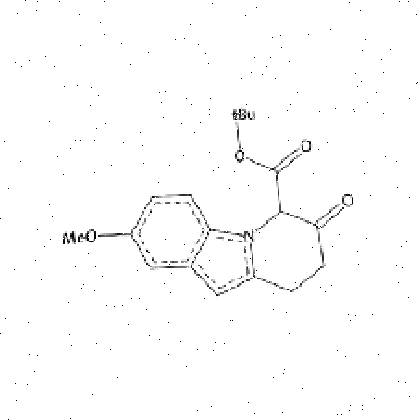 COc1ccc2c(c1)cc1n2C(C(=O)OC(C)(C)C)C(=O)CC1